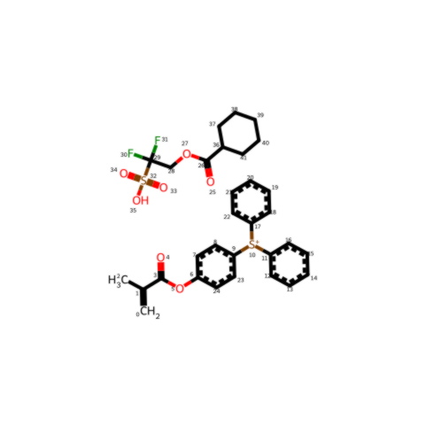 C=C(C)C(=O)Oc1ccc([S+](c2ccccc2)c2ccccc2)cc1.O=C(OCC(F)(F)S(=O)(=O)O)C1CCCCC1